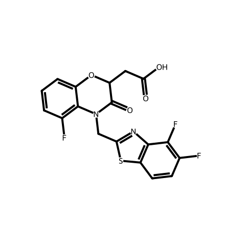 O=C(O)CC1Oc2cccc(F)c2N(Cc2nc3c(F)c(F)ccc3s2)C1=O